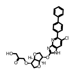 O=C(CO)CO[C@@H]1CO[C@H]2[C@@H]1OC[C@H]2Oc1nc2nc(-c3ccc(-c4ccccc4)cc3)c(Cl)cc2[nH]1